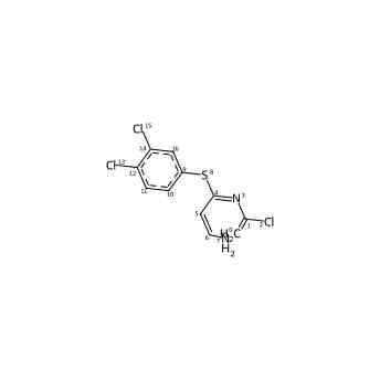 C=C(Cl)/N=C(\C=C/N)Sc1ccc(Cl)c(Cl)c1